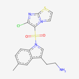 Cc1ccc2c(c1)c(CCN)cn2S(=O)(=O)c1c(Cl)nc2sccn12